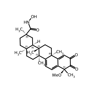 CO[C@]1(C)C(=O)C(=O)C=C2C1=CC=C1[C@@]2(C)CC[C@@]2(C)[C@@H]3C[C@](C)(C(=O)NO)CC[C@]3(C)CC[C@]12C